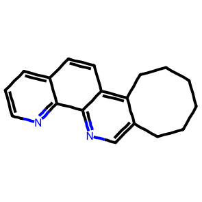 c1cnc2c(c1)ccc1c3c(cnc12)CCCCCC3